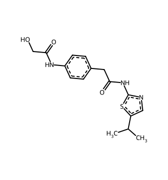 CC(C)c1cnc(NC(=O)Cc2ccc(NC(=O)CO)cc2)s1